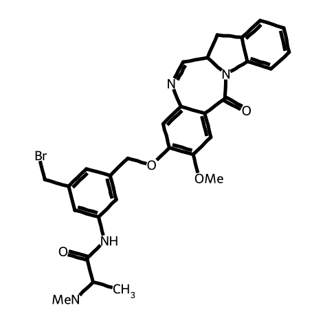 CNC(C)C(=O)Nc1cc(CBr)cc(COc2cc3c(cc2OC)C(=O)N2c4ccccc4CC2C=N3)c1